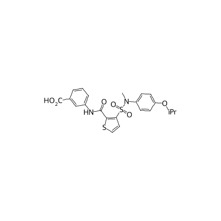 CC(C)Oc1ccc(N(C)S(=O)(=O)c2ccsc2C(=O)Nc2cccc(C(=O)O)c2)cc1